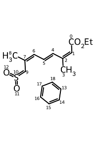 CCOC(=O)C=C(C)C=CC=C(C)C=S(=O)=O.c1ccccc1